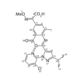 CON=C(C(=O)O)c1cc(C)c2nc(-c3cc(C(F)F)nn3-c3ncccc3Cl)oc(=O)c2c1